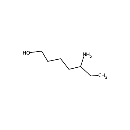 CCC(N)CCCCO